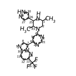 CC1CN(c2cc(-c3cnc4ccc(C(F)(F)F)nn34)ncn2)C(C)C(c2cn[nH]c2)N1